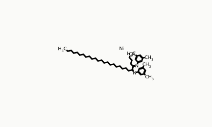 CCCCCCCCCCCCCCCCCCCCCCC(=Nc1cc(C)cc(C)c1)C(CCCC)=Nc1cc(C)cc(C)c1.[Ni]